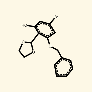 Oc1cc(Br)cc(OCc2ccccc2)c1C1OCCO1